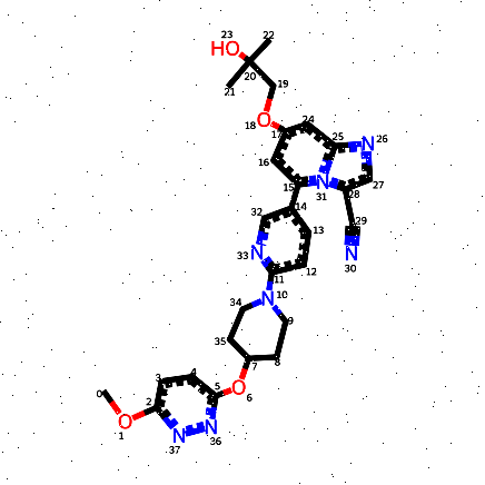 COc1ccc(OC2CCN(c3ccc(-c4cc(OCC(C)(C)O)cc5ncc(C#N)n45)cn3)CC2)nn1